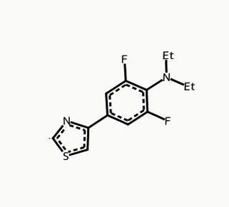 CCN(CC)c1c(F)cc(-c2cs[c]n2)cc1F